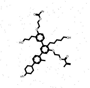 C=C(C)C(=O)OCCOc1cc(-c2ccc(C3CCC(CCC)CC3)cc2C)cc(-c2ccc(OCCOC(=O)C(C)C)c(CCCO)c2)c1CCCCCO